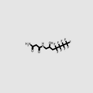 NC(=O)CC(=O)NCC(O)CC(F)(F)C(F)(F)C(F)(F)C(F)(F)F